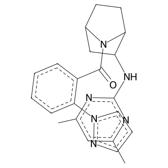 Cc1cc(C)nc(NC2CC3CCC2N3C(=O)c2ccccc2-n2cccn2)n1